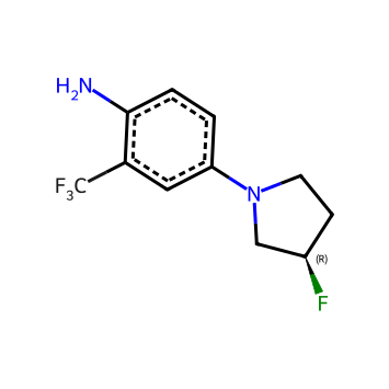 Nc1ccc(N2CC[C@@H](F)C2)cc1C(F)(F)F